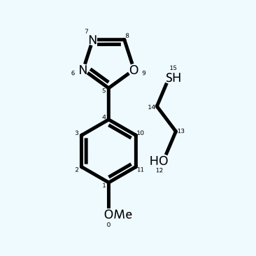 COc1ccc(-c2nnco2)cc1.OCCS